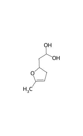 CC1=CCC(CC(O)O)O1